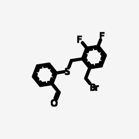 O=Cc1ccccc1SCc1c(CBr)ccc(F)c1F